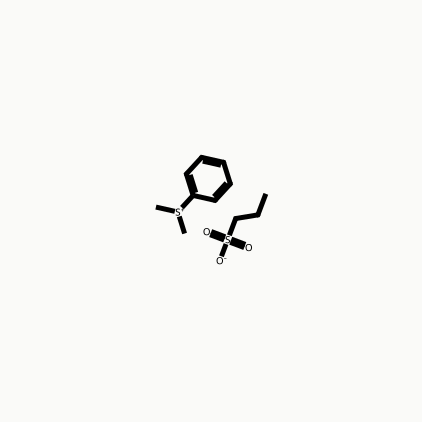 CCCS(=O)(=O)[O-].C[S+](C)c1ccccc1